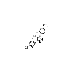 Nc1c(-c2ccc(Cl)cc2)nnn1-c1ccc(C(F)(F)F)cc1F